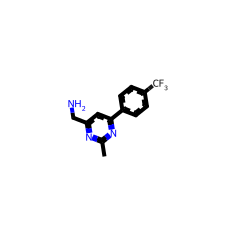 Cc1nc(CN)cc(-c2ccc(C(F)(F)F)cc2)n1